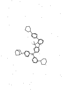 CC1(C)c2cc(N(c3ccc(C4CC5CCC4C5)cc3)c3cccc(C4CCCCC4)c3)ccc2-c2cccc(-c3ccc(C4CCCCC4)cc3)c21